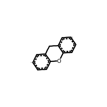 [c]1ccc2c(c1)Cc1c[c]ccc1O2